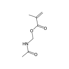 C=C(C)C(=O)OCNC(C)=O